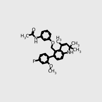 COc1cc(F)ccc1-c1ccc2c(c1COc1cccc(NC(C)=O)c1)C(C)=CC(C)(C)N2